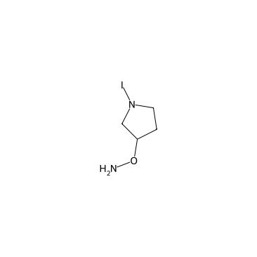 NOC1CCN(I)C1